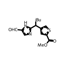 CCC(C)C(c1csc(C(=O)OC)c1)c1ncc(C=O)[nH]1